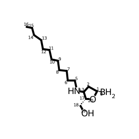 B[C@H]1CC(NCCCCCCCCCCCC)[C@@H](CO)O1